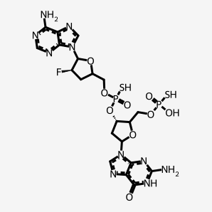 Nc1nc2c(ncn2C2C[C@H](OP(=O)(S)OCC3C[C@@H](F)C(n4cnc5c(N)ncnc54)O3)C(COP(=O)(O)S)O2)c(=O)[nH]1